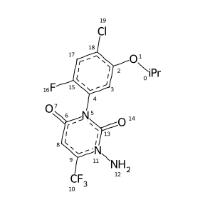 CC(C)Oc1cc(-n2c(=O)cc(C(F)(F)F)n(N)c2=O)c(F)cc1Cl